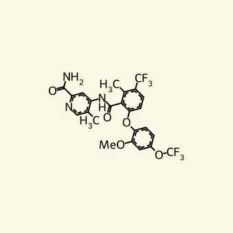 COc1cc(OC(F)(F)F)ccc1Oc1ccc(C(F)(F)F)c(C)c1C(=O)Nc1cc(C(N)=O)ncc1C